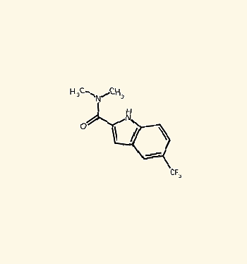 CN(C)C(=O)c1cc2cc(C(F)(F)F)ccc2[nH]1